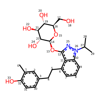 Cc1cc(CCc2cccc3c2c(O[C@@H]2O[C@H](CO)[C@@H](O)[C@H](O)[C@H]2O)nn3C(C)C)ccc1O